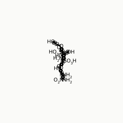 Nc1cc(N)c([N+](=O)[O-])cc1/N=N/c1ccc(NS(=O)(=O)c2ccc(/N=N/c3c(S(=O)(=O)O)cc4cc(SOOO)c(/N=N/c5ccc(S(=O)(=O)CCOSOOO)cc5S(=O)(=O)O)c(O)c4c3N)cc2)cc1